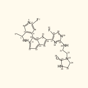 CC(N)c1cnc(F)cc1-c1cccc2cc(-c3nc(NCCN4CCNC4=O)ncc3F)sc12